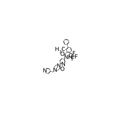 Cc1c(-c2ccccc2)ccc(OC(F)(F)F)c1C(=O)Nc1ccc(N2CCN(Cc3ccncc3)CC2=O)nc1